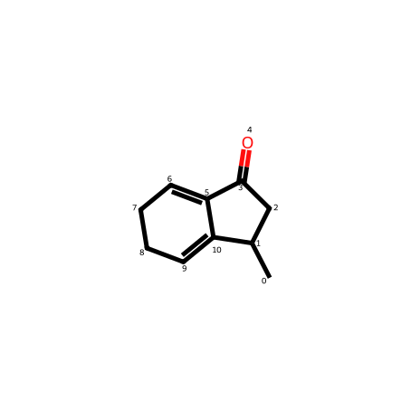 CC1CC(=O)C2=CCCC=C21